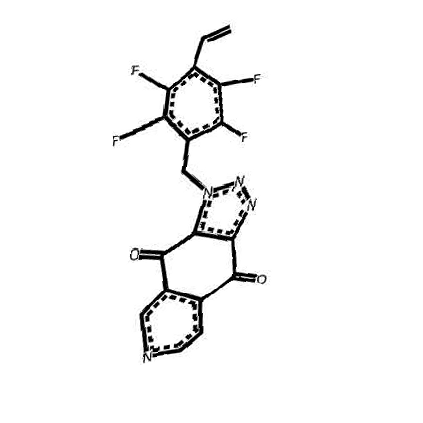 C=Cc1c(F)c(F)c(Cn2nnc3c2C(=O)c2cnccc2C3=O)c(F)c1F